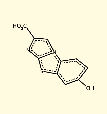 O=C(O)c1cn2c(n1)sc1cc(O)ccc12